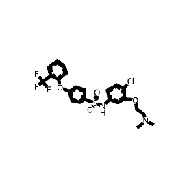 CN(C)CCOc1cc(NS(=O)(=O)c2ccc(Oc3ccccc3C(F)(F)F)cc2)ccc1Cl